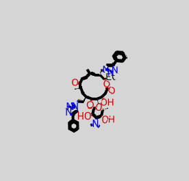 CC[C@H]1OC(=O)C[C@@H](O)[C@H](C)[C@@H](O[C@@H]2O[C@H](C)C(O)C(N(C)C)C2O)[C@@H](CCn2cc(-c3ccccc3)nn2)C[C@@H](C)C(=O)/C=C/C(C)=C/[C@@H]1Cn1cc(-c2ccccc2)nn1